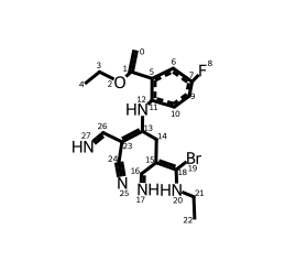 C=C(OCC)c1cc(F)ccc1N/C(C/C(C=N)=C(\Br)NCC)=C(/C#N)C=N